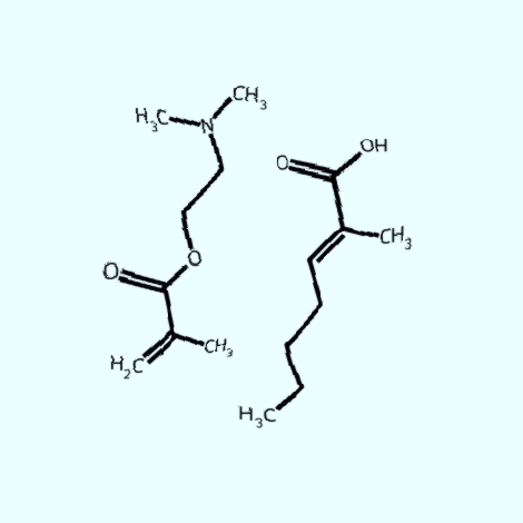 C=C(C)C(=O)OCCN(C)C.CCCC/C=C(\C)C(=O)O